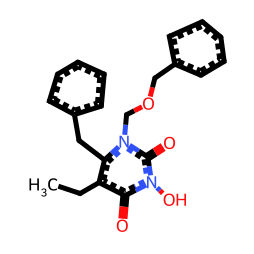 CCc1c(Cc2ccccc2)n(COCc2ccccc2)c(=O)n(O)c1=O